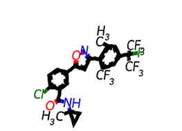 Cc1cc(C(F)(C(F)(F)F)C(F)(F)F)cc(C(F)(F)F)c1-c1cc(-c2ccc(Cl)c(C(=O)NC3(C)CC3)c2)on1